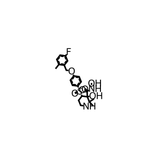 Cc1ccc(F)cc1COc1ccc(S(=O)(=O)C2CCNC(C)(C)C2(O)C(=O)NO)cc1